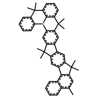 Cc1cc2c(c3ccccc13)-c1cc3c(cc1C2(C)C)-c1cc2c(cc1C3(C)C)N1c3ccccc3C(C)(C)c3cccc(c31)C2(C)C